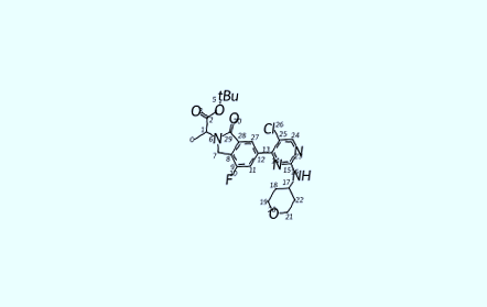 CC(C(=O)OC(C)(C)C)N1Cc2c(F)cc(-c3nc(NC4CCOCC4)ncc3Cl)cc2C1=O